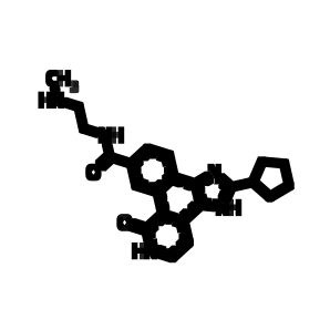 CNCCNC(=O)c1ccc2c(c1)c1c(=O)[nH]ccc1c1[nH]c(C3CCCC3)nc21